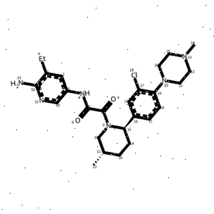 CCc1cc(NC(=O)C(=O)N2C[C@@H](C)CC[C@@H]2c2ccc(N3CCN(C)CC3)c(Cl)c2)cnc1N